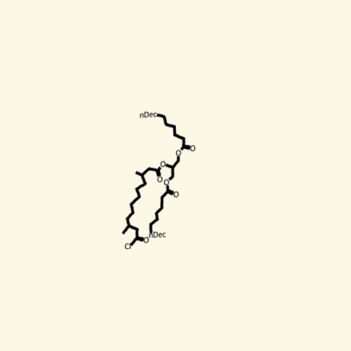 CCCCCCCCCCCCCCCC(=O)OCC(COC(=O)CCCCCCCCCCCCCCC)OC(=O)CC(C)CCCCCCC(C)CC(=O)Cl